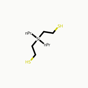 CCC[Si](CCC)(CCS)CCS